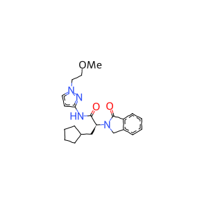 COCCn1ccc(NC(=O)[C@H](CC2CCCC2)N2Cc3ccccc3C2=O)n1